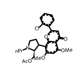 CCCN1CCC(c2c(OC)cc(OC)c3c(=O)cc(-c4ccccc4Cl)oc23)[C@H]1COC(C)=O